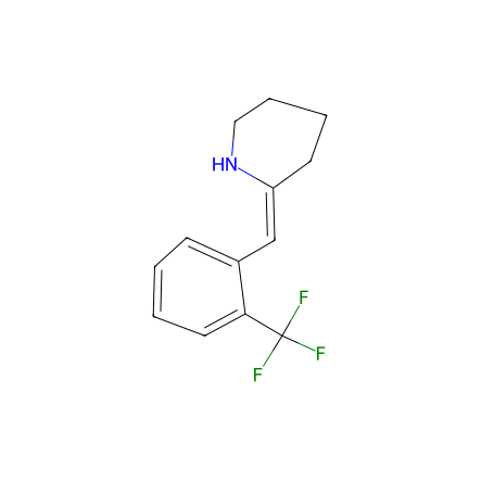 FC(F)(F)c1ccccc1C=C1CCCCN1